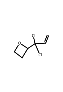 C=CC(Cl)(Cl)C1CCO1